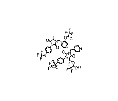 C[C@@H]1C(=O)N(c2ccc(SC(F)(F)F)cc2)C(=O)N1Cc1ccncc1OC(=O)C(F)(F)F.O=C(O)C(F)(F)F.O=C1N(c2ccc(S(=O)(=O)C(F)(F)F)cc2)C(=O)C2(CC2)N1Cc1ccncc1